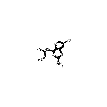 CCCC(CO)Nc1nc(N)nc2cc(Cl)cnc12